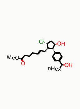 CCCCCCC(O)c1ccc([C@@H]2[C@@H](CC=CCCCC(=O)OC)[C@H](Cl)C[C@H]2O)cc1